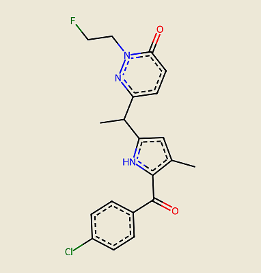 Cc1cc(C(C)c2ccc(=O)n(CCF)n2)[nH]c1C(=O)c1ccc(Cl)cc1